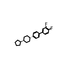 Fc1ccc(-c2ccc([C@H]3CC[C@H](C4CCCC4)CC3)cc2)cc1F